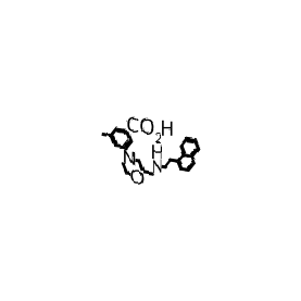 Cc1cc(C(=O)O)cc(N2CCOC(CNCCc3cccc4ccccc34)C2)c1